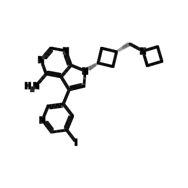 Nc1ncnc2c1c(-c1cncc(I)c1)cn2[C@H]1C[C@@H](CN2CCC2)C1